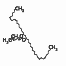 CCCCC/C=C\C/C=C\CCCCCCCCCC(CCCCCCCC/C=C\C/C=C\CCCCC)OC(=O)CCCN(C)C